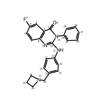 O=c1c2cc(F)ccc2nc(Nc2ccc(CN3CCC3)cc2)n1-c1ccccc1